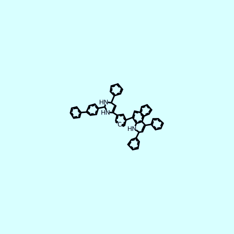 C1=C(c2cccc(-c3cc4ccccc4c4c3NC(c3ccccc3)C=C4c3ccccc3)c2)NC(c2ccc(-c3ccccc3)cc2)NC1c1ccccc1